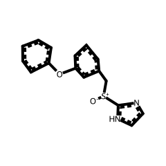 [O-][S+](Cc1cccc(Oc2ccccc2)c1)c1ncc[nH]1